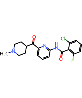 CN1CCC(C(=O)c2cccc(NC(=O)c3c(F)cccc3Cl)n2)CC1